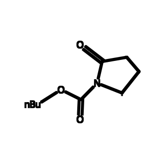 CCCCOC(=O)N1[CH]CCC1=O